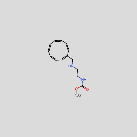 CC(C)(C)OC(=O)NCCNCc1ccccccccc1